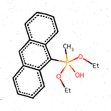 CCOP(C)(O)(OCC)c1c2ccccc2cc2ccccc12